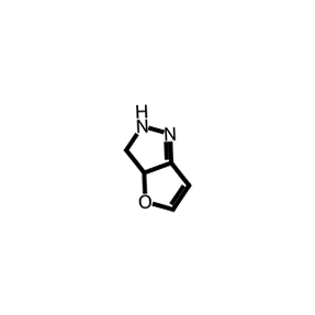 C1=CC2=NNCC2O1